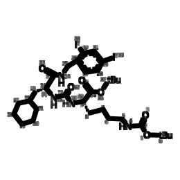 CC(C)(C)OC(=O)NCCCC[C@H](NC(=O)N[C@H](CC1CCCCC1)C(=O)NCc1ccc(F)cc1F)C(=O)OC(C)(C)C